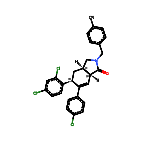 N#Cc1ccc(CN2C[C@@H]3C[C@@H](c4ccc(Cl)cc4Cl)C(c4ccc(Cl)cc4)=C[C@@H]3C2=O)cc1